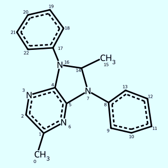 Cc1cnc2c(n1)N(c1ccccc1)C(C)N2c1ccccc1